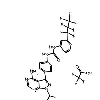 CC(C)n1nc(-c2ccc(NC(=O)Nc3cccc(C(F)(F)C(F)(F)C(F)(F)F)c3)cc2)c2c(N)ncnc21.O=C(O)C(F)(F)F